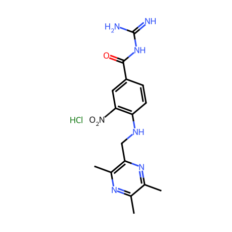 Cc1nc(C)c(CNc2ccc(C(=O)NC(=N)N)cc2[N+](=O)[O-])nc1C.Cl